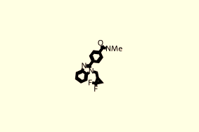 CNC(=O)c1ccc(-c2nc3ccccc3n2CC2CC2(F)F)cc1